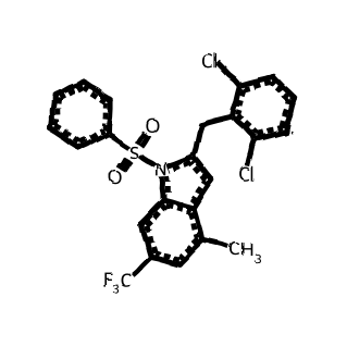 Cc1cc(C(F)(F)F)cc2c1cc(Cc1c(Cl)[c]ccc1Cl)n2S(=O)(=O)c1ccccc1